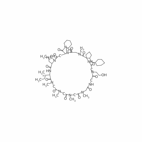 CC[C@H](C)C1NC(=O)C(CC(C)C)N(C)C(=O)CC(C(=O)N2CCCCC2)N(C)C(=O)CN(C)C(=O)C2(CCCC2CC2CCCCC2)NC(=O)CN(CCO)C(=O)CNC(=O)CN(C)C(=O)CN(C)C(=O)CN(C)C(=O)CN(C)C1=O